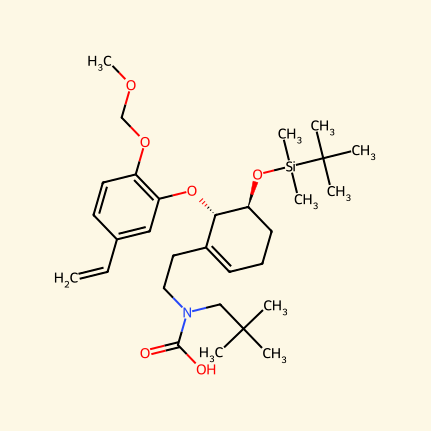 C=Cc1ccc(OCOC)c(O[C@H]2C(CCN(CC(C)(C)C)C(=O)O)=CCC[C@@H]2O[Si](C)(C)C(C)(C)C)c1